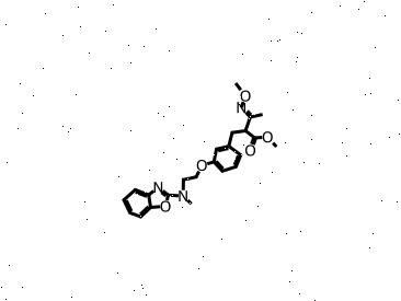 CON=C(C)C(Cc1cccc(OCCN(C)c2nc3ccccc3o2)c1)C(=O)OC